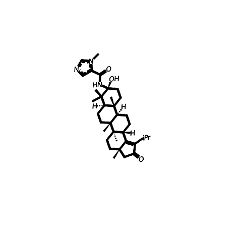 CC(C)C1=C2[C@H]3CC[C@@H]4[C@@]5(C)CC[C@@](O)(NC(=O)c6cncn6C)C(C)(C)[C@@H]5CC[C@@]4(C)[C@]3(C)CC[C@@]2(C)CC1=O